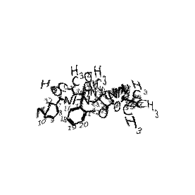 CC(C)C(NC(=O)c1cccnc1)C(=O)N1c2ccccc2C[C@H]1[C@](NC=O)(C(=O)c1nnc(C(C)(C)C)o1)C(C)C